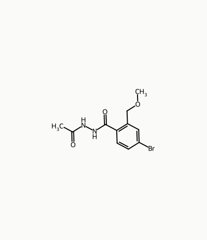 COCc1cc(Br)ccc1C(=O)NNC(C)=O